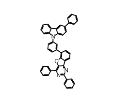 c1ccc(-c2ccc3c(c2)c2ccccc2n3-c2cccc(-c3cccc4c3oc3c(-c5ccccc5)nc(-c5ccccc5)nc34)c2)cc1